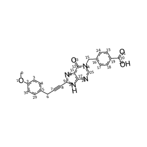 COc1ccc(CC#Cc2nc3c(=O)n(Cc4ccc(C(=O)O)cc4)cnc3[nH]2)cc1